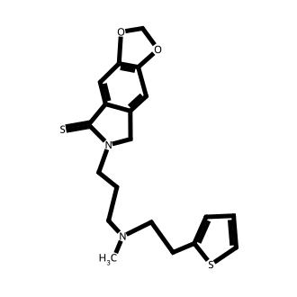 CN(CCCN1Cc2cc3c(cc2C1=S)OCO3)CCc1cccs1